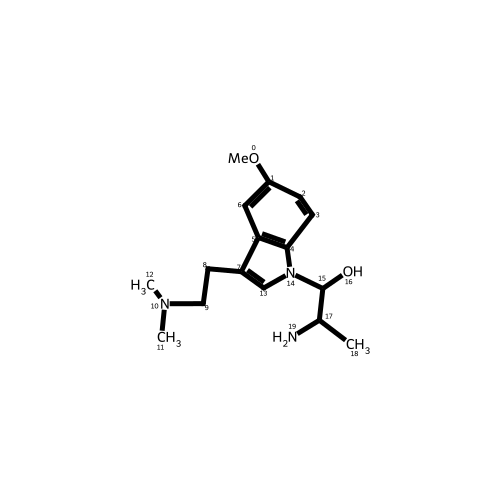 COc1ccc2c(c1)c(CCN(C)C)cn2C(O)C(C)N